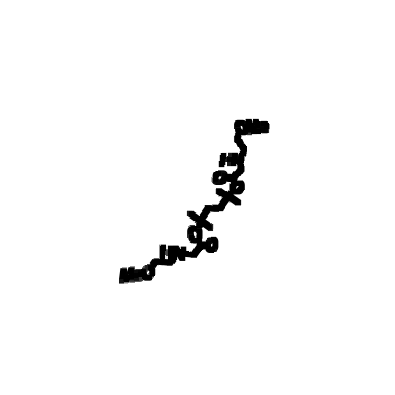 COCCNCC(=O)OC(C)(C)CCC(C)(C)OC(=O)CNCCOC